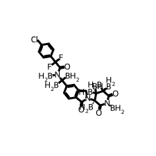 BN1C(=O)C(B)(B)C(B)(B)[C@](B)(N2Cc3cc(C(B)(B)N(B)C(=O)C(F)(F)c4ccc(Cl)cc4)ccc3C2=O)C1=O